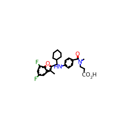 Cc1c(C(Nc2ccc(C(=O)N(C)CCC(=O)O)cc2)C2CCCCC2)oc2c(F)cc(F)cc12